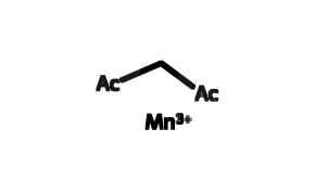 CC(=O)CC(C)=O.[Mn+3]